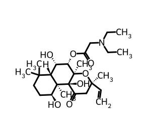 C=C[C@@]1(C)CC(=O)[C@]2(O)[C@@]3(C)[C@@H](O)CCC(C)(C)[C@@H]3[C@H](O)[C@H](OC(=O)CN(CC)CC)[C@@]2(C)O1